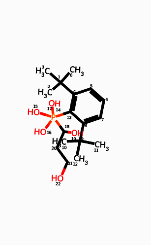 CC(C)(C)c1cccc(C(C)(C)C)c1P(O)(O)(O)C(O)CCO